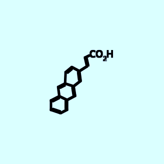 O=C(O)/C=C/c1ccc2cc3ccccc3cc2c1